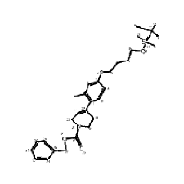 Cc1cc(OCCCCO[Si](C)(C)C(C)(C)C)ccc1C1=CCN(C(=O)OCc2ccccc2)CC1